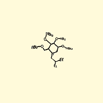 CCCCOCC1C(OCCCC)C(OCCCC)C(OCCCC)CN1CC(CC)CC